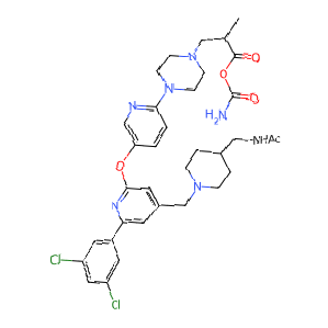 CC(=O)NCC1CCN(Cc2cc(Oc3ccc(N4CCN(CC(C)C(=O)OC(N)=O)CC4)nc3)nc(-c3cc(Cl)cc(Cl)c3)c2)CC1